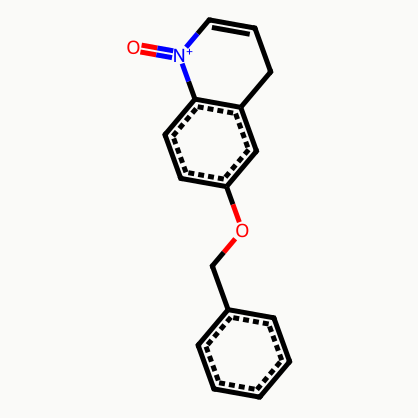 O=[N+]1C=CCc2cc(OCc3ccccc3)ccc21